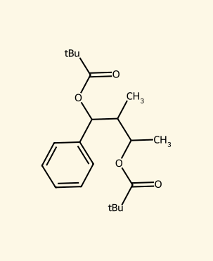 CC(OC(=O)C(C)(C)C)C(C)C(OC(=O)C(C)(C)C)c1ccccc1